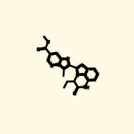 CCC1C(=O)Nc2cccc3cc(-c4nc5cc(C(=O)OC)cnn5c4C)n1c23